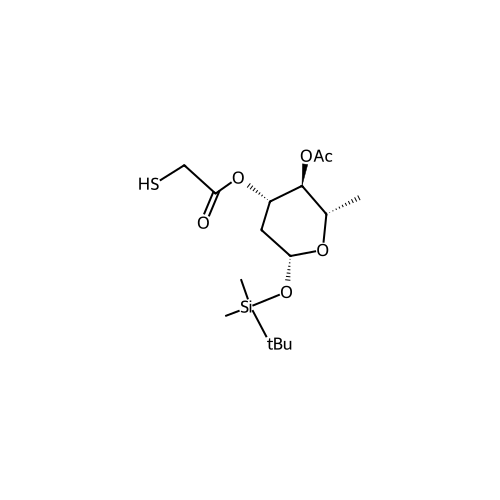 CC(=O)O[C@H]1[C@H](C)O[C@H](O[Si](C)(C)C(C)(C)C)C[C@@H]1OC(=O)CS